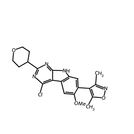 COc1cc2c(cc1-c1c(C)noc1C)[nH]c1nc(C3CCOCC3)nc(Cl)c12